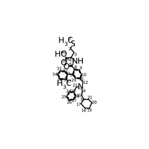 CSCCC(NC(=O)c1ccc(CN(CCC2CCCCC2)Cc2ccccc2)cc1-c1ccccc1C)C(=O)O